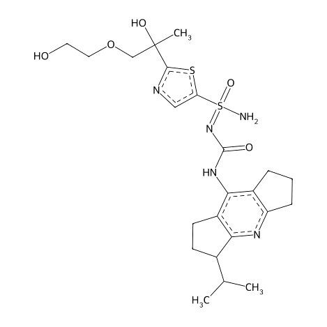 CC(C)C1CCc2c1nc1c(c2NC(=O)N=S(N)(=O)c2cnc(C(C)(O)COCCO)s2)CCC1